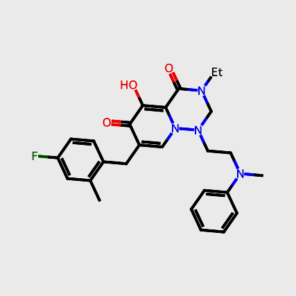 CCN1CN(CCN(C)c2ccccc2)n2cc(Cc3ccc(F)cc3C)c(=O)c(O)c2C1=O